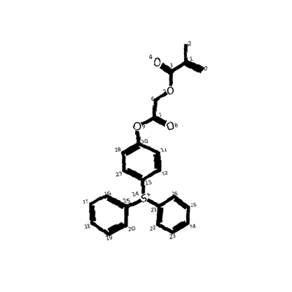 C=C(C)C(=O)OCC(=O)Oc1ccc([S+](c2ccccc2)c2ccccc2)cc1